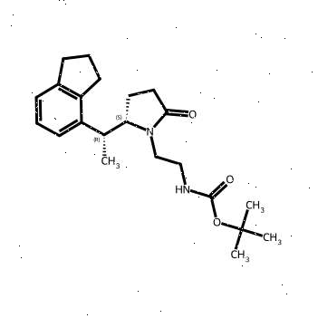 C[C@H](c1cccc2c1CCC2)[C@@H]1CCC(=O)N1CCNC(=O)OC(C)(C)C